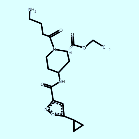 CCOC(=O)[C@@H]1CC(NC(=O)c2cc(C3CC3)on2)CCN1C(=O)CCCN